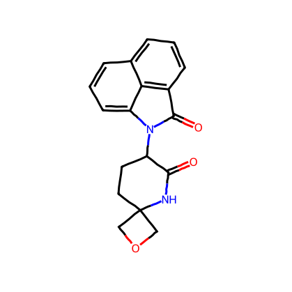 O=C1NC2(CCC1N1C(=O)c3cccc4cccc1c34)COC2